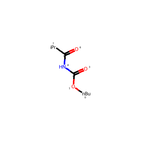 CCCCOC(=O)NC(=O)C(C)C